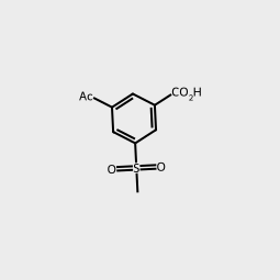 CC(=O)c1cc(C(=O)O)cc(S(C)(=O)=O)c1